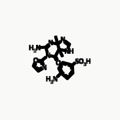 CC12N=CNC1(C)C(=O)N(c1ncco1)C(N)=N2.Nc1ccc(S(=O)(=O)O)cc1